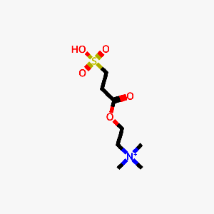 C[N+](C)(C)CCOC(=O)CCS(=O)(=O)O